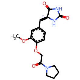 COc1cc(/C=C2\NC(=O)NC2=O)ccc1OCC(=O)N1CCCC1